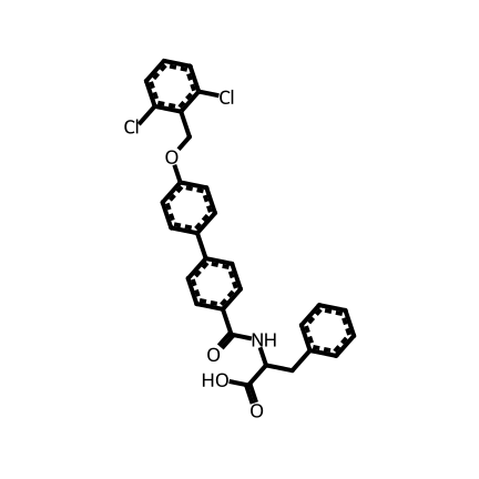 O=C(NC(Cc1ccccc1)C(=O)O)c1ccc(-c2ccc(OCc3c(Cl)cccc3Cl)cc2)cc1